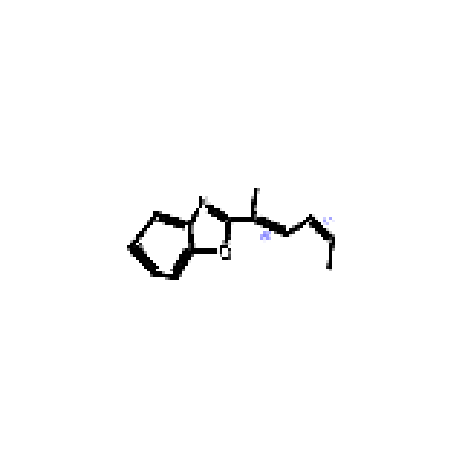 C/C=C\C=C(/C)c1nc2ccccc2o1